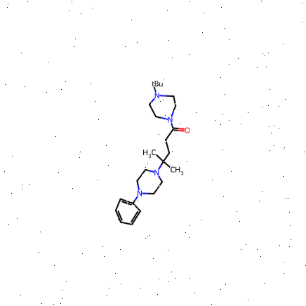 CC(C)(C)N1CCN(C(=O)CCC(C)(C)N2CCN(c3ccccc3)CC2)CC1